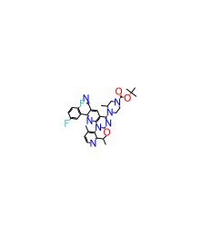 Cc1ccnc(C(C)C)c1-n1c(=O)nc(N2CCN(C(=O)OC(C)(C)C)CC2C)c2cc(C#N)c(-c3cc(F)ccc3F)nc21